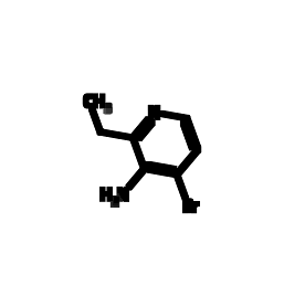 CCc1nccc(Br)c1N